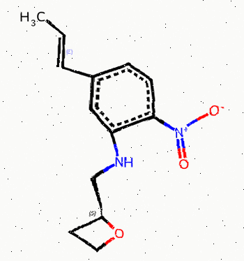 C/C=C/c1ccc([N+](=O)[O-])c(NC[C@@H]2CCO2)c1